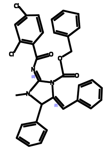 CN1/C(=N/C(=O)c2ccc(Cl)cc2Cl)N(C(=O)OCc2ccccc2)/C(=C\c2ccccc2)C1c1ccccc1